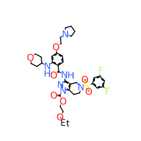 CCOCCOC(=O)n1nc(NC(=O)c2ccc(OCCN3CCCC3)cc2NC2CCOCC2)c2c1CCN(S(=O)(=O)c1cc(F)cc(F)c1)C2